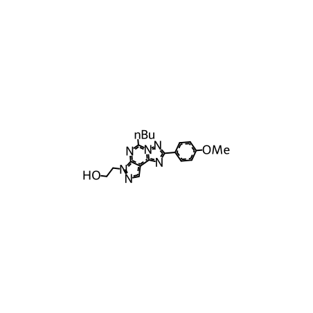 CCCCc1nc2c(cnn2CCO)c2nc(-c3ccc(OC)cc3)nn12